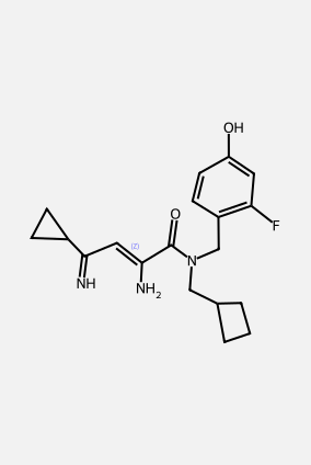 N=C(/C=C(\N)C(=O)N(Cc1ccc(O)cc1F)CC1CCC1)C1CC1